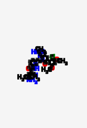 CNc1ncc2cc(-c3cc(OC)cc(OC)c3Cl)c(=O)n(CCc3cccc(NC(=O)/C(C#N)=C/C(C)(C)N)n3)c2n1